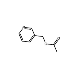 CC(=O)OCc1cccnc1